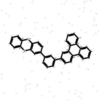 c1cc(-c2ccc3c(c2)Sc2ccccc2S3)cc(-c2ccc3c4ccccc4c4ccccc4c3c2)c1